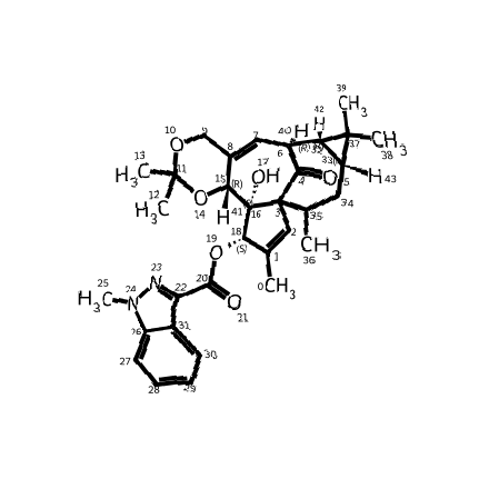 CC1=CC23C(=O)[C@@H](C=C4COC(C)(C)O[C@H]4[C@]2(O)[C@H]1OC(=O)c1nn(C)c2ccccc12)[C@H]1[C@@H](CC3C)C1(C)C